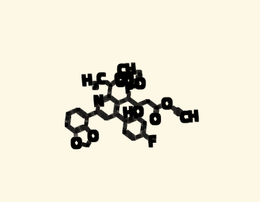 C#COC(=O)CC(O)C(c1c(-c2ccc(F)cc2)cc(-c2cccc3c2OCO3)nc1C(C)C)[PH](=O)OC